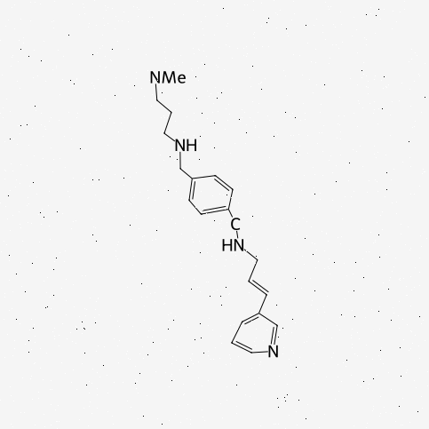 CNCCCNCc1ccc(CNC/C=C/c2cccnc2)cc1